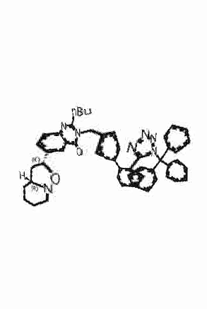 CCCCc1nc2ccc([C@H]3C[C@H]4CCCCN4O3)cc2c(=O)n1Cc1ccc(-c2ccccc2-c2nnnn2C(c2ccccc2)(c2ccccc2)c2ccccc2)cc1